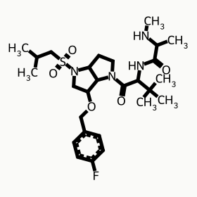 CNC(C)C(=O)NC(C(=O)N1CCC2C1C(OCc1ccc(F)cc1)CN2S(=O)(=O)CC(C)C)C(C)(C)C